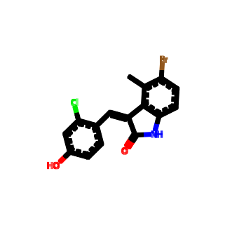 Cc1c(Br)ccc2c1C(=Cc1ccc(O)cc1Cl)C(=O)N2